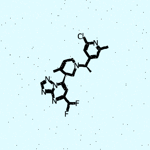 CC1=CCN([C@H](C)c2cc(C)nc(Cl)c2)C[C@H]1c1cc(C(F)F)nc2ncnn12